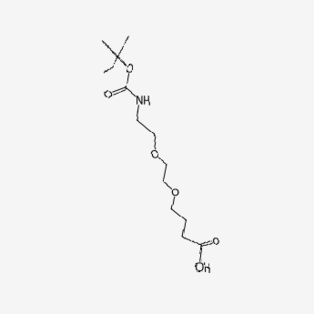 CC(C)(C)OC(=O)NCCOCCOCCCC(=O)O